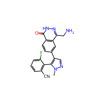 Cn1ncc(-c2ccc3c(=O)[nH]nc(CN)c3c2)c1-c1c(F)cccc1C#N